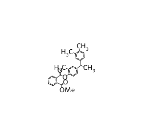 COC(=O)c1ccccc1C(=O)Oc1ccc(C(C)c2ccc(C)c(C)c2)cc1C